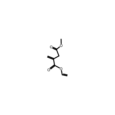 C=COC(=O)C(=C)CC(=O)OC